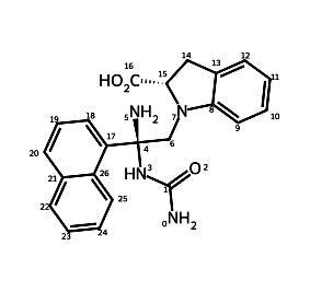 NC(=O)N[C@@](N)(CN1c2ccccc2C[C@H]1C(=O)O)c1cccc2ccccc12